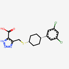 O=C(O)c1[nH]nnc1CS[C@H]1CC[C@@H](c2cc(Cl)cc(Cl)c2)CC1